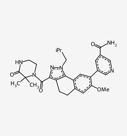 COc1cc2c(cc1-c1cncc(C(N)=O)c1)-c1c(c(C(=O)N3CCNC(=O)C3(C)C)nn1CC(C)C)CC2